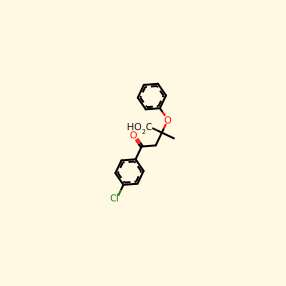 CC(CC(=O)c1ccc(Cl)cc1)(Oc1ccccc1)C(=O)O